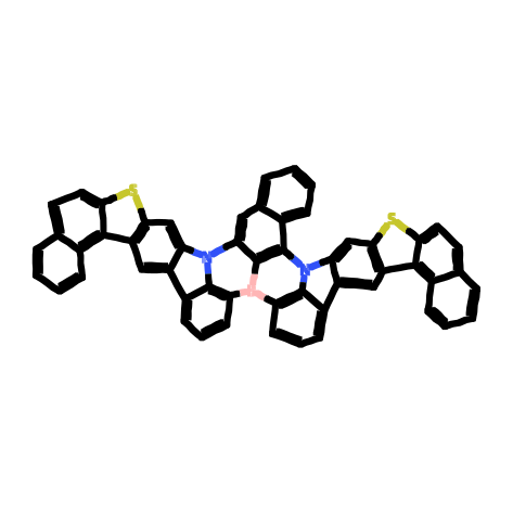 c1ccc2c3c4c(cc2c1)-n1c2cc5sc6ccc7ccccc7c6c5cc2c2cccc(c21)B4c1cccc2c4cc5c(cc4n-3c12)sc1ccc2ccccc2c15